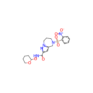 O=C(NOC1CCCCO1)c1cc2n(n1)CCCN(S(=O)(=O)c1ccccc1[N+](=O)[O-])C2